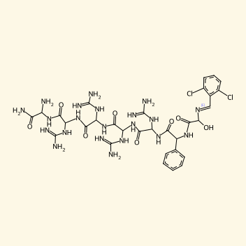 N=C(N)NC(NC(=O)C(NC(=N)N)NC(=O)C(NC(=N)N)NC(=O)C(NC(=N)N)NC(=O)C(NC(=O)C(O)/N=C/c1c(Cl)cccc1Cl)c1ccccc1)C(=O)NC(N)C(N)=O